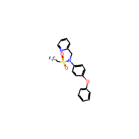 O=S(=O)(CC(F)(F)F)N(Cc1ccccn1)c1ccc(Oc2ccccc2)cc1